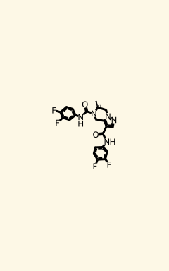 C[C@H]1Cn2ncc(C(=O)Nc3ccc(F)c(F)c3)c2CN1C(=O)Nc1ccc(F)c(F)c1